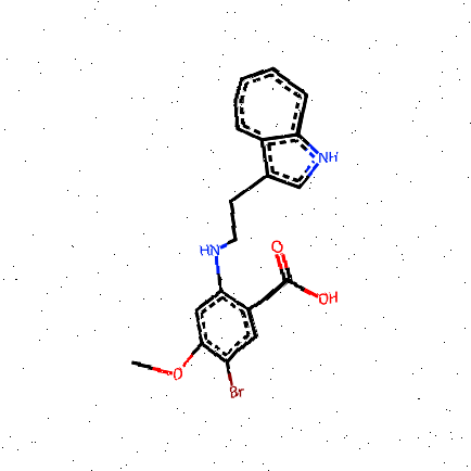 COc1cc(NCCc2c[nH]c3ccccc23)c(C(=O)O)cc1Br